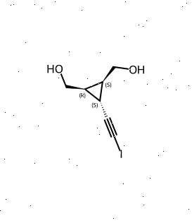 OC[C@@H]1[C@@H](C#CI)[C@@H]1CO